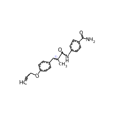 C#CCOc1ccc(/C=C(\C)C(=O)Nc2ccc(C(N)=O)cc2)cc1